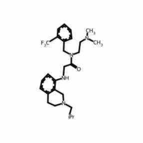 CC(C)CN1CCc2cccc(NCC(=O)N(CCN(C)C)Cc3ccccc3C(F)(F)F)c2C1